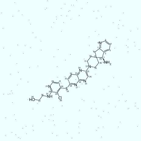 N[C@@H]1c2cccnc2CC12CCN(c1cnc3nc(Sc4ccnc(NCCO)c4Cl)ccc3n1)CC2